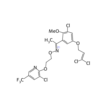 COc1c(Cl)cc(OCC=C(Cl)Cl)cc1/C(C)=N/OCCOc1ncc(C(F)(F)F)cc1Cl